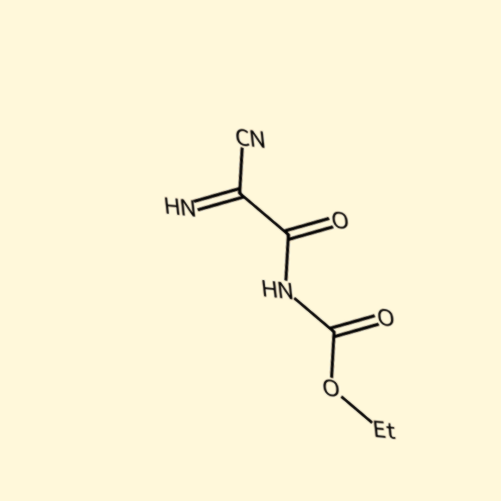 CCOC(=O)NC(=O)C(=N)C#N